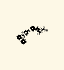 Cc1c(-c2cccc(OCC3CCN(C(=O)Nc4ccccc4Oc4ccccc4)CC3)c2)sc(C(=O)O)c1OCC(=O)O